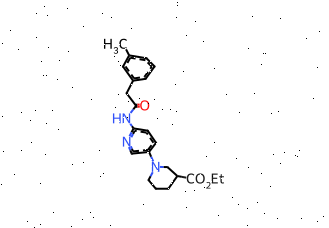 CCOC(=O)C1CCCN(c2ccc(NC(=O)Cc3cccc(C)c3)nc2)C1